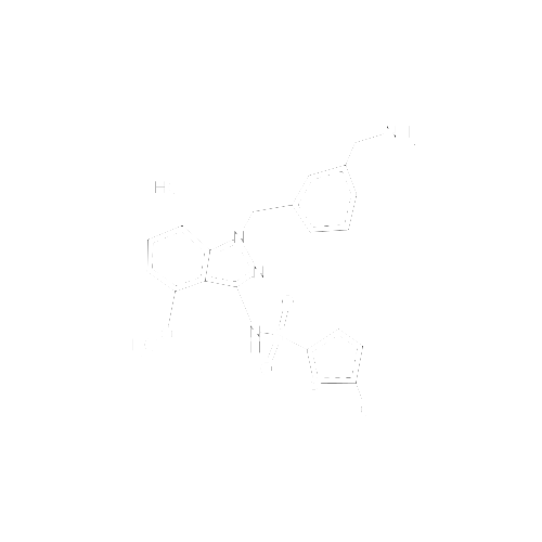 COc1cccc2c1c(NS(=O)(=O)c1ccc(Cl)s1)nn2Cc1cccc(CN)c1.Cl